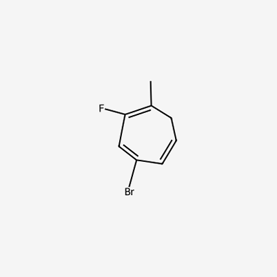 CC1=C(F)C=C(Br)C=CC1